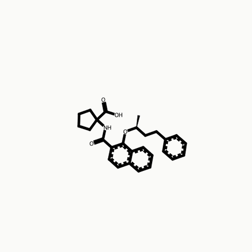 C[C@@H](CCc1ccccc1)Oc1c(C(=O)NC2(C(=O)O)CCCC2)ccc2ccccc12